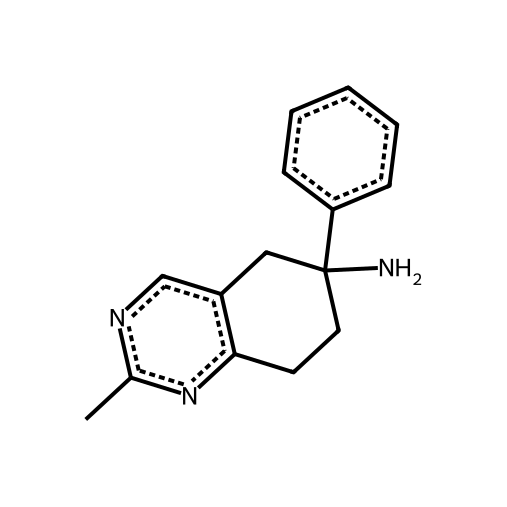 Cc1ncc2c(n1)CCC(N)(c1ccccc1)C2